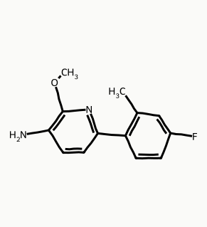 COc1nc(-c2ccc(F)cc2C)ccc1N